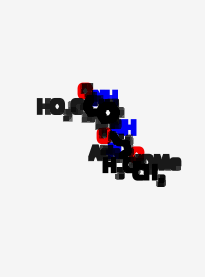 COC(C)(C)OC1CC(C(=O)Nc2ccc3[nH]c(=O)c(C(=O)O)cc3c2)N(C(C)=O)C1